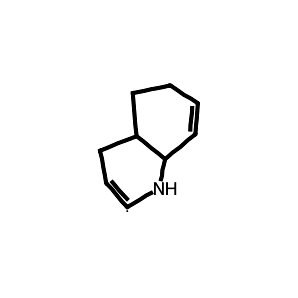 [C]1=CCC2CCC=CC2N1